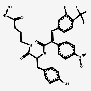 O=C(CCCNC(=O)C(Cc1ccc(O)cc1)NC(=O)C(=Cc1ccc(C(F)(F)F)c(F)c1)c1ccc([N+](=O)[O-])cc1)NO